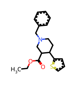 CCOC(=O)C1CN(Cc2ccccc2)CCC1c1cccs1